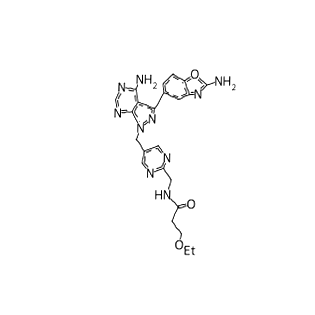 CCOCCC(=O)NCc1ncc(Cn2nc(-c3ccc4oc(N)nc4c3)c3c(N)ncnc32)cn1